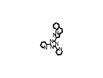 c1ccc(-c2nc(-c3ccccn3)nc(-c3cc4ccc5ccccc5n4n3)n2)nc1